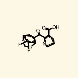 O=C(O)c1cccnc1C(=O)c1cc2c(F)c(F)c1OCO2